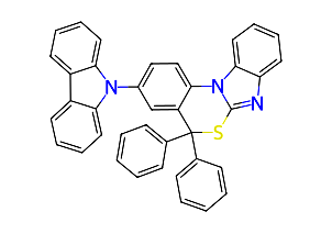 c1ccc(C2(c3ccccc3)Sc3nc4ccccc4n3-c3ccc(-n4c5ccccc5c5ccccc54)cc32)cc1